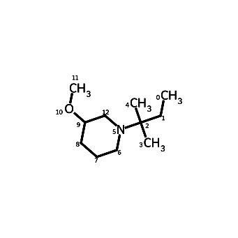 CCC(C)(C)N1CCCC(OC)C1